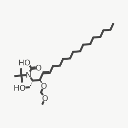 CCCCCCCCCCCCCC=C[C@@H](OCOC)[C@H](CO)N(C(=O)O)C(C)(C)C